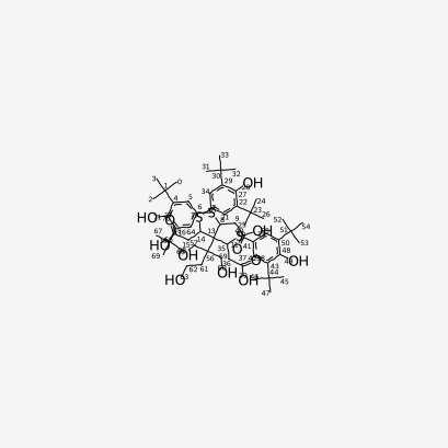 CC(C)(C)c1cc(SC(CC(=O)O)C(C(CC(=O)O)Sc2cc(C(C)(C)C)c(O)c(C(C)(C)C)c2)(C(CC(=O)O)Sc2cc(C(C)(C)C)c(O)c(C(C)(C)C)c2)C(CO)(CO)CCO)cc(C(C)(C)C)c1O